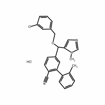 Cc1ccccc1-c1cc(C(OCc2cccc(Cl)c2)c2cncn2C)ccc1C#N.Cl